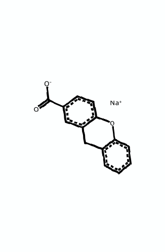 O=C([O-])c1ccc2c(c1)Cc1ccccc1O2.[Na+]